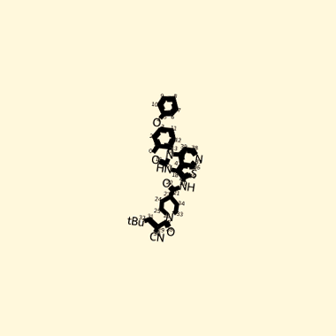 Cc1cc(Oc2ccccc2)ccc1N1C(=O)Nc2c(NC(=O)C3CCN(C(=O)C(C#N)=CC(C)(C)C)CC3)sc3nccc1c23